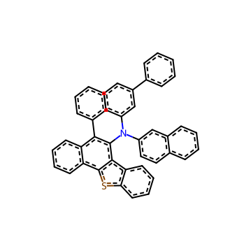 c1ccc(-c2cccc(N(c3ccc4ccccc4c3)c3c(-c4ccccc4)c4ccccc4c4sc5ccccc5c34)c2)cc1